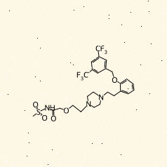 CS(=O)(=O)NC(=O)COCCN1CCN(CCc2ccccc2OCc2cc(C(F)(F)F)cc(C(F)(F)F)c2)CC1